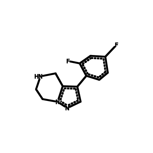 Fc1ccc(-c2cnn3c2CNCC3)c(F)c1